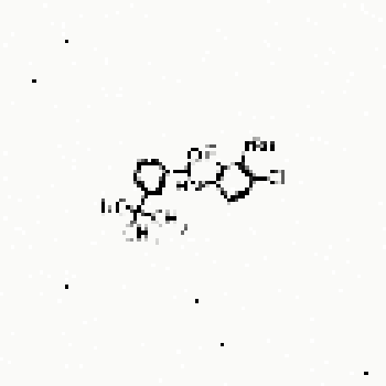 CC(C)(C)c1c(Cl)ccc(NC(=O)c2cccc(C(C)(C)C#N)c2)c1F